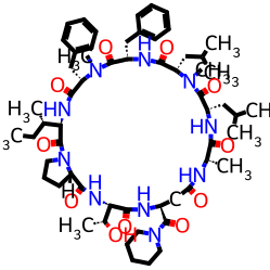 CC[C@H](C)[C@@H]1NC(=O)[C@H](Cc2ccccc2)N(C)C(=O)[C@H](Cc2ccccc2)NC(=O)[C@H](CC(C)C)N(C)C(=O)[C@H](CC(C)C)NC(=O)[C@H](C)NC(=O)C[C@@H](C(=O)N2CCCCC2)NC(=O)[C@H]([C@@H](C)O)NC(=O)[C@@H]2CCCN2C1=O